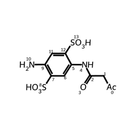 CC(=O)CC(=O)Nc1cc(S(=O)(=O)O)c(N)cc1S(=O)(=O)O